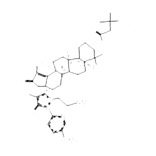 CNCCn1c([C@@]23CC[C@]4(C)[C@H](CC[C@@H]5[C@@]6(C)CC[C@H](OC(=O)CC(C)(C)C(=O)O)C(C)(C)[C@@H]6CC[C@]54C)C2=C(C(C)C)C(=O)C3)c(C)c(=O)n1-c1ccc(OC)cn1